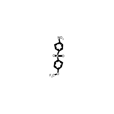 O=[N+]([O-])c1ccc(S(=O)(=O)c2ccc(OC(F)(F)F)cc2)cc1